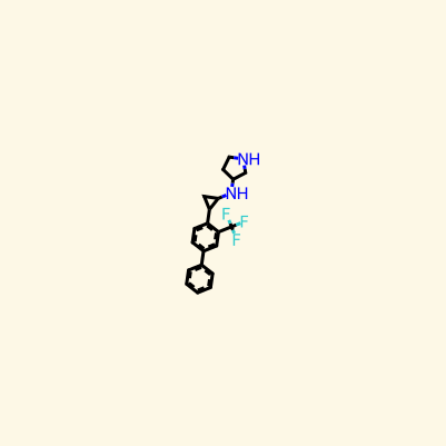 FC(F)(F)c1cc(-c2ccccc2)ccc1C1CC1NC1CCNC1